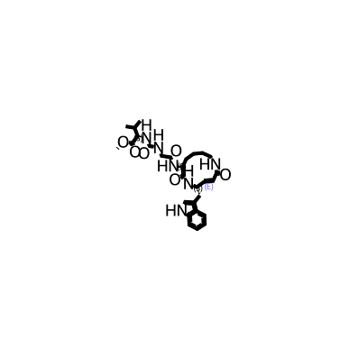 COC(=O)[C@@H](NC(=O)NCC(=O)N[C@H]1CCCCNC(=O)/C=C/[C@H](Cc2c[nH]c3ccccc23)NC1=O)C(C)C